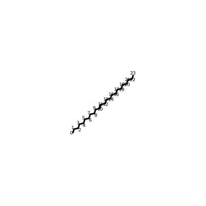 CCCCCCCCCCC=CCCCCCCCCCCCC